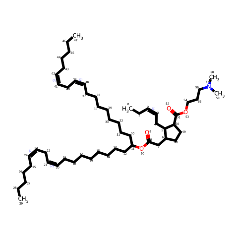 CC/C=C\CC1C(CC(=O)OC(CCCCCCCC/C=C\C/C=C\CCCCC)CCCCCCCC/C=C\C/C=C\CCCCC)CCC1C(=O)OCCCN(C)C